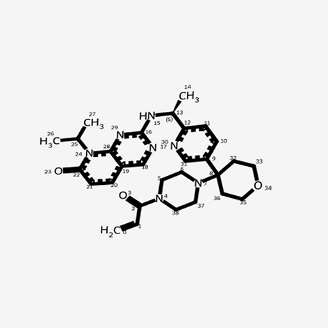 C=CC(=O)N1CCN(C2(c3ccc([C@H](C)Nc4ncc5ccc(=O)n(C(C)C)c5n4)nc3)CCOCC2)CC1